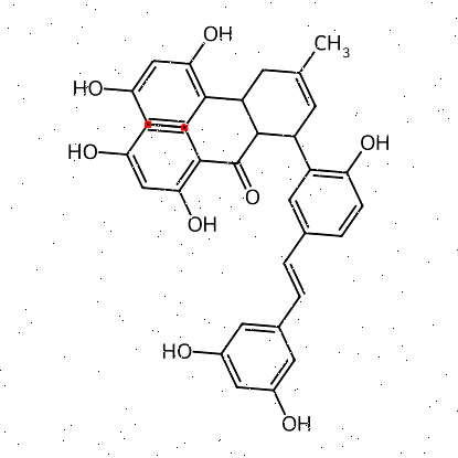 CC1=CC(c2cc(/C=C/c3cc(O)cc(O)c3)ccc2O)C(C(=O)C2=C(O)C=C(O)CC2)C(c2c#cc(O)cc2O)C1